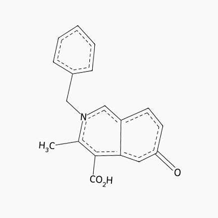 Cc1c(C(=O)O)c2cc(=O)ccc-2cn1Cc1ccccc1